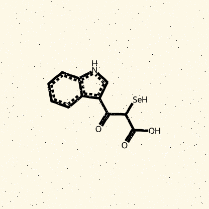 O=C(O)C([SeH])C(=O)c1c[nH]c2ccccc12